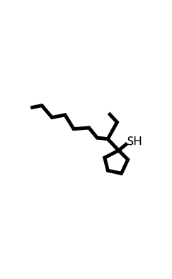 CCCCCCCC(CC)C1(S)CCCC1